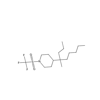 CCCCCC(C)(CCC)C1CCN(S(=O)(=O)C(F)(F)F)CC1